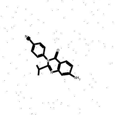 CC(C)c1nc2cc(N)ccc2c(=O)n1-c1ccc(C#N)cc1